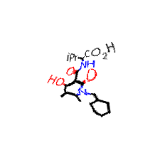 Cc1c(O)c(C(=O)N[C@H](C(=O)O)C(C)C)c(=O)n(CC2CCCCC2)c1C